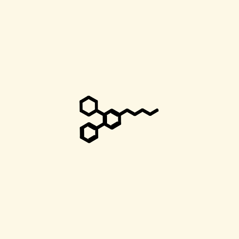 CCCCCc1ccc(-c2ccccc2)c(C2CCCCC2)c1